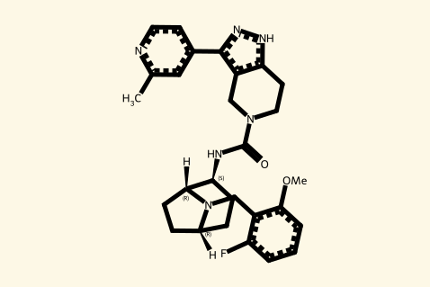 COc1cccc(F)c1CN1[C@@H]2CC[C@H](NC(=O)N3CCc4[nH]nc(-c5ccnc(C)c5)c4C3)[C@H]1CC2